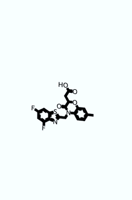 Cc1ccc2c(c1)OC(CC(=O)O)C(=O)N2Cc1nc2c(F)cc(F)cc2s1